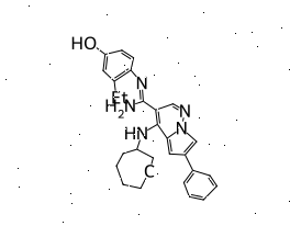 CCc1cc(O)ccc1/N=C(\N)c1cnn2cc(-c3ccccc3)cc2c1NC1CCCCCC1